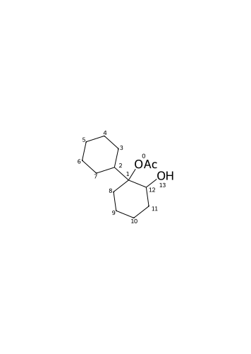 CC(=O)OC1(C2CCCCC2)CCCCC1O